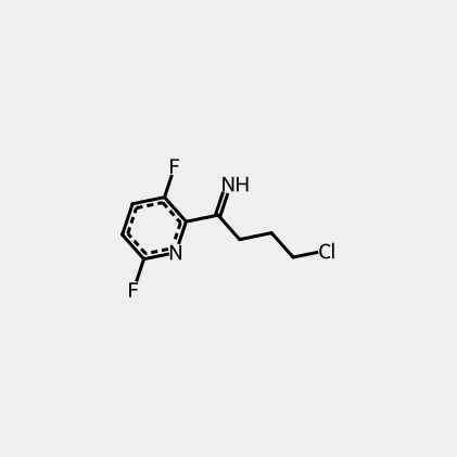 N=C(CCCCl)c1nc(F)ccc1F